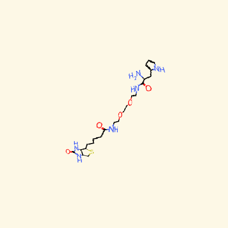 NC(Cc1ccc[nH]1)C(=O)NCCOCCOCCNC(=O)CCCCC1SCC2NC(=O)NC21